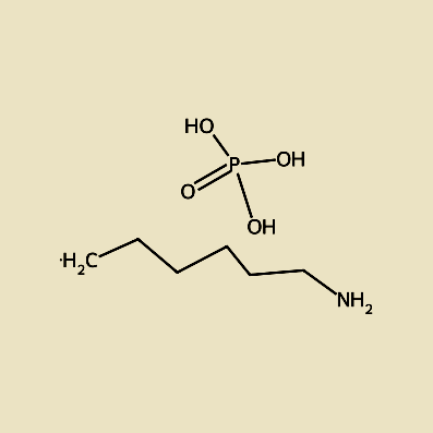 O=P(O)(O)O.[CH2]CCCCCN